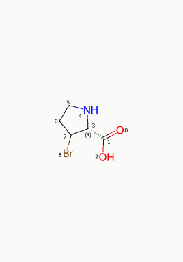 O=C(O)[C@H]1NCCC1Br